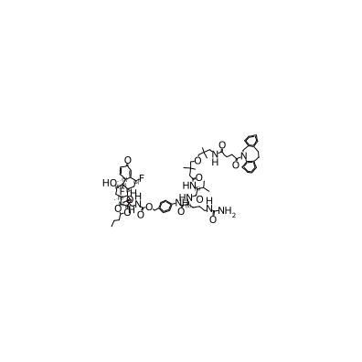 CCCC1O[C@@H]2CC3[C@@H]4C[C@H](F)C5=CC(=O)C=C[C@]5(C)[C@@]4(F)[C@@H](O)C[C@]3(C)[C@]2(C(=O)CNC(=O)OCc2ccc(NC(=O)[C@H](CCCNC(N)=O)NC(=O)[C@@H](NC(=O)CC(C)(C)COCC(C)(C)CNC(=O)CCC(=O)N3Cc4ccccc4CCc4ccccc43)C(C)C)cc2)O1